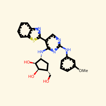 COc1cccc(Nc2ncc(-c3nc4ccccc4s3)c(N[C@@H]3C[C@H](CO)[C@@H](O)[C@H]3O)n2)c1